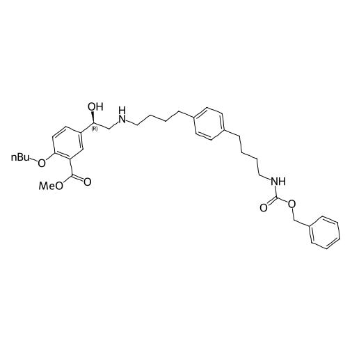 CCCCOc1ccc([C@@H](O)CNCCCCc2ccc(CCCCNC(=O)OCc3ccccc3)cc2)cc1C(=O)OC